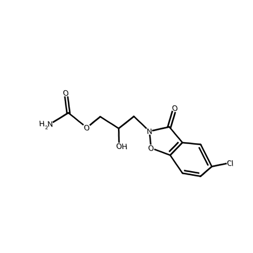 NC(=O)OCC(O)Cn1oc2ccc(Cl)cc2c1=O